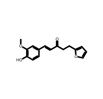 COc1cc(C=CC(=O)CCc2ccco2)ccc1O